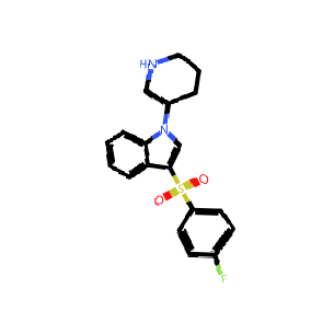 O=S(=O)(c1ccc(F)cc1)c1cn(C2CCCNC2)c2ccccc12